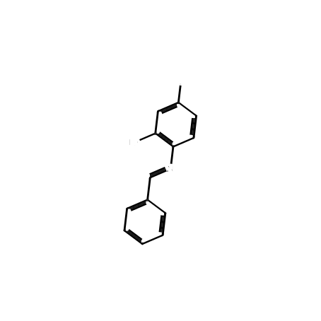 Oc1ccc(N=Cc2ccccc2)c(O)c1